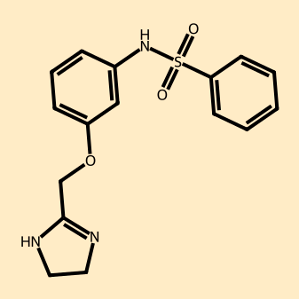 O=S(=O)(Nc1cccc(OCC2=NCCN2)c1)c1ccccc1